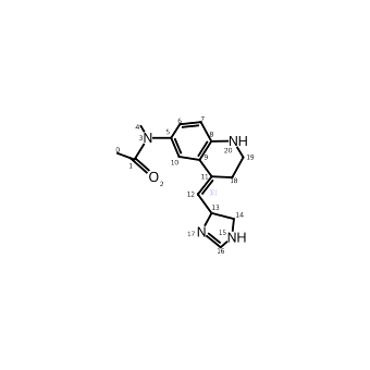 CC(=O)N(C)c1ccc2c(c1)/C(=C/C1CNC=N1)CCN2